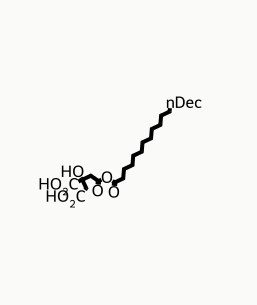 CCCCCCCCCCCCCCCCCCCCCC(=O)OC(=O)CC(O)(CC(=O)O)C(=O)O